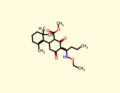 CCC/C(NOCC)=C1/C(=O)CC(C2=C(C)CCCC2(C)C)C(C(=O)OC)C1=O